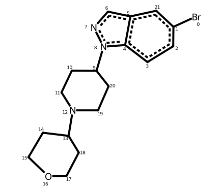 Brc1ccc2c(cnn2C2CCN(C3CCOCC3)CC2)c1